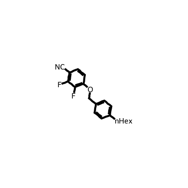 CCCCCCc1ccc(COc2ccc(C#N)c(F)c2F)cc1